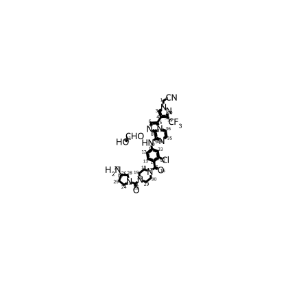 N#CCn1cc(-c2cnc3c(Nc4ccc(C(=O)N5CCN(C(=O)N6CC[C@H](N)C6)CC5)c(Cl)c4)nccn23)c(C(F)(F)F)n1.O=CO